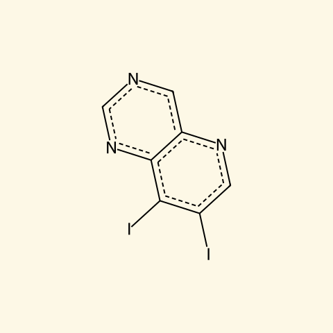 Ic1cnc2cncnc2c1I